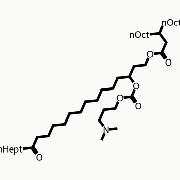 CCCCCCCCC(CCCCCCCC)CC(=O)OCCC(CCCCCCCCCCCC(=O)CCCCCCC)OC(=O)OCCCN(C)C